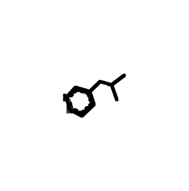 C[C](C)Cc1ccnnc1